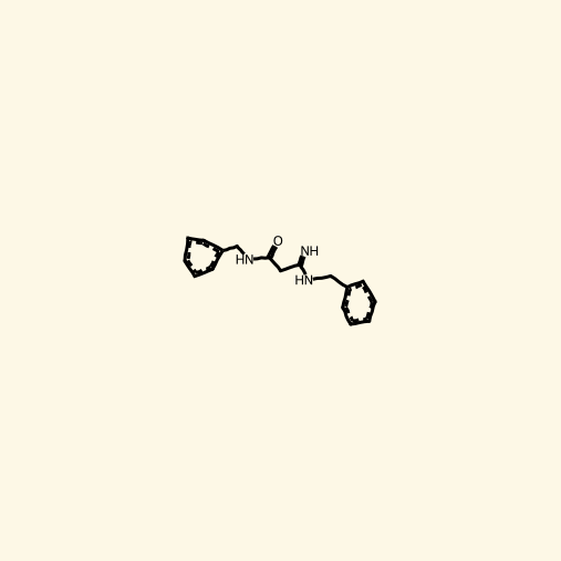 N=C(CC(=O)NCc1ccccc1)NCc1ccccc1